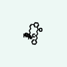 CN(C)C(=O)CCC/C=C\c1cccc(C(=O)CC[C@@H](Cc2ccccc2)C(=O)O)c1